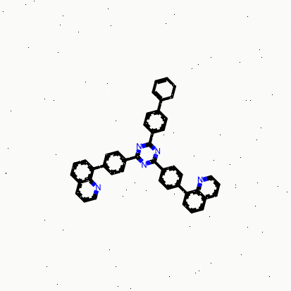 C1=CCCC(c2ccc(-c3nc(-c4ccc(-c5cccc6cccnc56)cc4)nc(-c4ccc(-c5cccc6cccnc56)cc4)n3)cc2)=C1